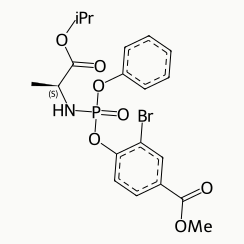 COC(=O)c1ccc(OP(=O)(N[C@@H](C)C(=O)OC(C)C)Oc2ccccc2)c(Br)c1